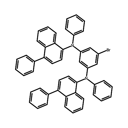 Brc1cc(N(c2ccccc2)c2ccc(-c3ccccc3)c3ccccc23)cc(N(c2ccccc2)c2ccc(-c3ccccc3)c3ccccc23)c1